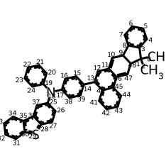 CC1(C)c2ccccc2C2C=c3cc(-c4ccc(N(c5ccccc5)c5ccc6sc7ccccc7c6c5)cc4)c4ccccc4c3=CC21